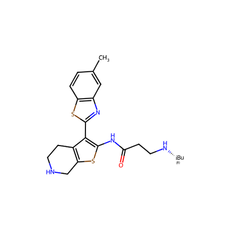 CC[C@@H](C)NCCC(=O)Nc1sc2c(c1-c1nc3cc(C)ccc3s1)CCNC2